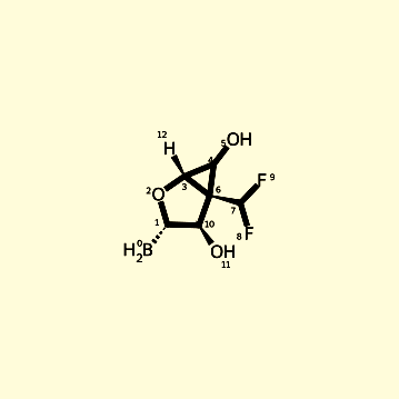 B[C@@H]1O[C@@H]2C(O)[C@]2(C(F)F)[C@H]1O